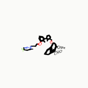 COc1cc(OCc2cccc(-c3cccc(OCCCN4CCC(F)(F)C4)c3C)c2C)c2c(c1C=O)CCC2